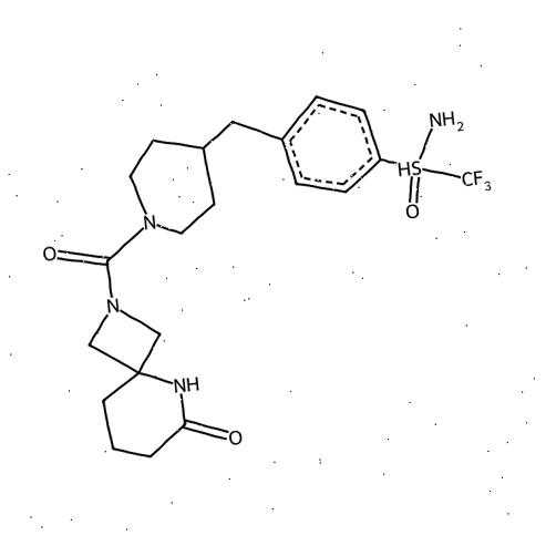 N[SH](=O)(c1ccc(CC2CCN(C(=O)N3CC4(CCCC(=O)N4)C3)CC2)cc1)C(F)(F)F